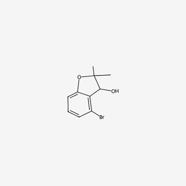 CC1(C)Oc2cccc(Br)c2C1O